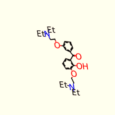 CCN(CC)CCOc1cccc(C(=O)c2cccc(OCCN(CC)CC)c2O)c1